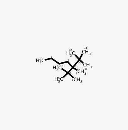 CCCCC(C)(C(C)(C)C)C(C)(C)C